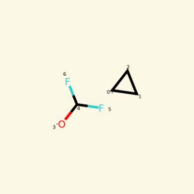 [CH]1CC1.[O]C(F)F